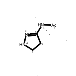 CC(=O)NC1=NNCC1